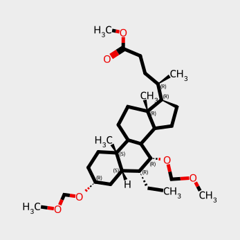 CC[C@H]1[C@@H](OCOC)C2C3CC[C@H]([C@H](C)CCC(=O)OC)[C@@]3(C)CCC2[C@@]2(C)CC[C@@H](OCOC)C[C@@H]12